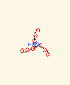 C1=C(OCCOCC2CO2)NN(OCCOCC2CO2)N=C1OCCOCC1CO1